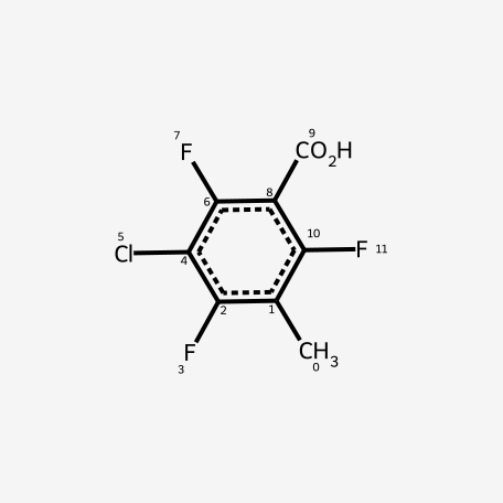 Cc1c(F)c(Cl)c(F)c(C(=O)O)c1F